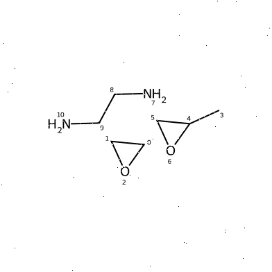 C1CO1.CC1CO1.NCCN